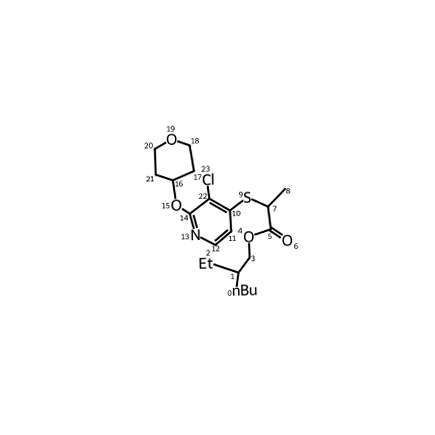 CCCCC(CC)COC(=O)C(C)Sc1ccnc(OC2CCOCC2)c1Cl